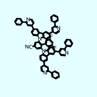 N#Cc1cc(-n2c3ccc(-c4ccnc(-c5ccccc5)c4)cc3c3cc(-c4ccnc(-c5ccccc5)c4)ccc32)c(-c2cc(F)cc(F)c2)c(-n2c3ccc(-c4ccnc(-c5ccccc5)c4)cc3c3cc(-c4ccnc(-c5ccccc5)c4)ccc32)c1